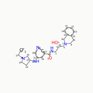 O=C(NC[C@H](O)CN1CCc2ccccc2C1)c1cncc(NC2CCN(CC(F)(F)F)C2)c1